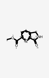 COC(=O)c1ccc2c(n1)C(=O)NC2